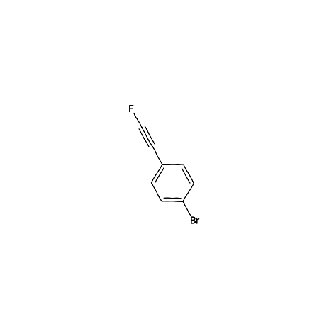 FC#Cc1ccc(Br)cc1